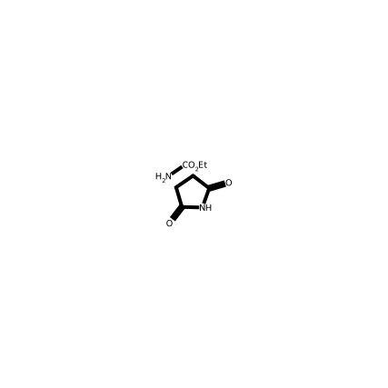 CCOC(N)=O.O=C1CCC(=O)N1